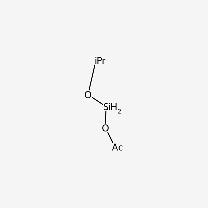 CC(=O)O[SiH2]OC(C)C